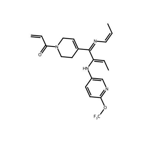 C=CC(=O)N1CC=C(C(=N/C=C\C)/C(=C/C)Nc2ccc(OC(F)(F)F)nc2)CC1